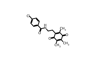 CC1=C(C)C(=O)C(CCNC(=O)c2ccc(Cl)cc2)=C(C)C1=O